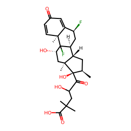 C[C@@H]1C[C@H]2[C@@H]3C[C@H](F)C4=CC(=O)C=C[C@]4(C)C3(F)[C@@H](O)C[C@]2(C)[C@@]1(O)C(=O)C(O)CC(C)(C)C(=O)O